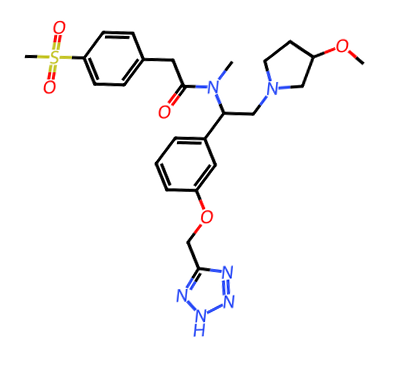 COC1CCN(CC(c2cccc(OCc3nn[nH]n3)c2)N(C)C(=O)Cc2ccc(S(C)(=O)=O)cc2)C1